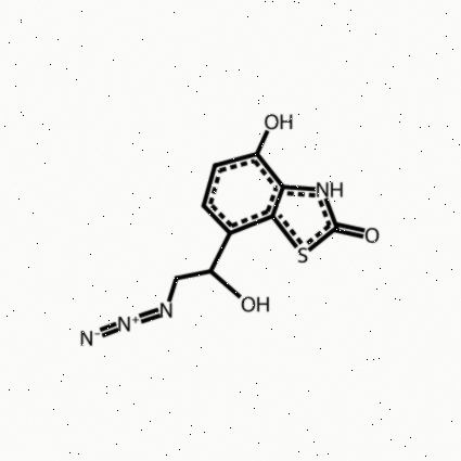 [N-]=[N+]=NCC(O)c1ccc(O)c2[nH]c(=O)sc12